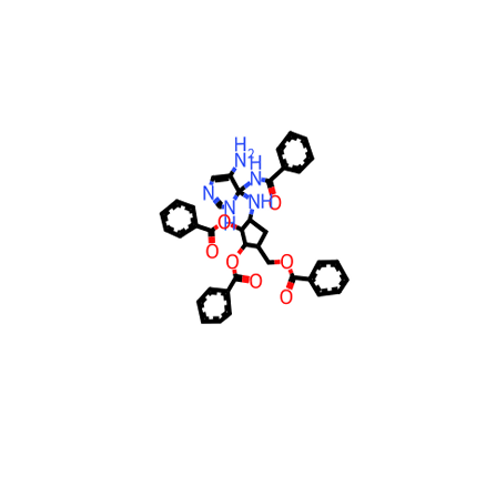 NC1=CN=CNC1(NC(=O)c1ccccc1)NC1CC(COC(=O)c2ccccc2)C(OC(=O)c2ccccc2)C1OC(=O)c1ccccc1